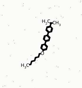 C=C(C)c1ccc(-c2ccc(-c3ccc(OCCCCCCC)cc3)cc2)cc1